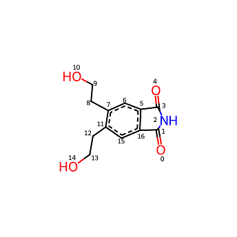 O=C1NC(=O)c2cc(CCO)c(CCO)cc21